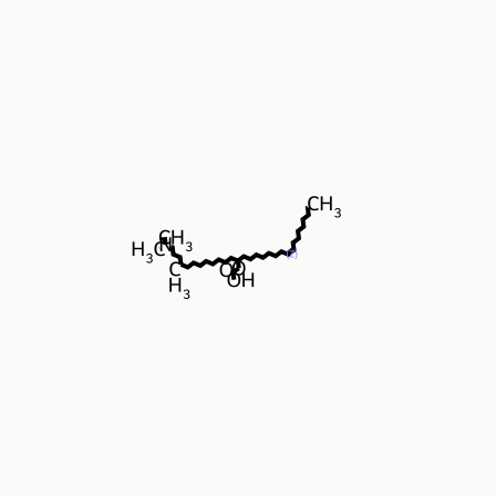 CCCCCCCC/C=C\CCCCCCCC(CCCCCCCCC(C)CCCN(C)C)OC(=O)O